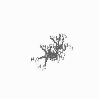 CCCCCCCCN(CCCCCCCC)c1nc(N(C)CCN(C)c2nc(N(C)CCN(C)c3nc(N(CCCCCCCC)CCCCCCCC)nc(N(CCCCCCCC)CCCCCCCC)n3)nc(N(C)CNC)n2)nc(N(CCCCCCCC)CCCCCCCC)n1